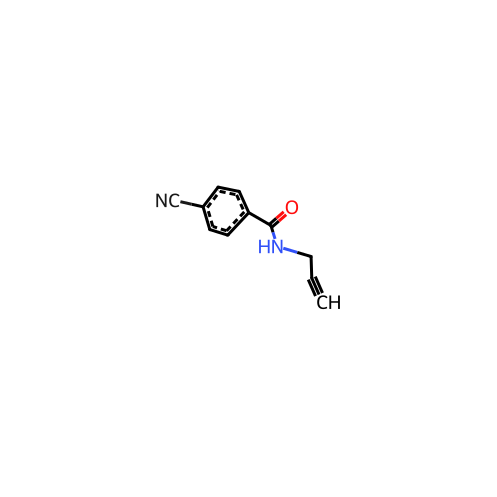 C#CCNC(=O)c1ccc(C#N)cc1